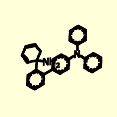 NC1(c2ccccc2-c2ccc(N(c3ccccc3)c3ccccc3)cc2)C=CC=CC1